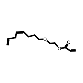 C=CC/C=C\CCCOCCOC(=O)C=C